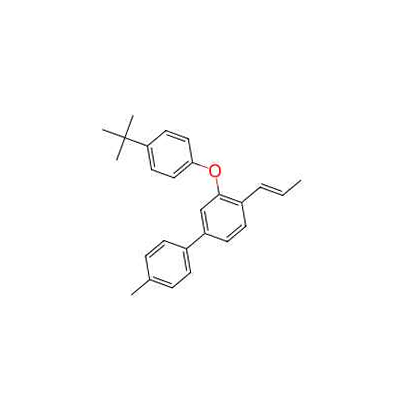 C/C=C/c1ccc(-c2ccc(C)cc2)cc1Oc1ccc(C(C)(C)C)cc1